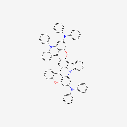 c1ccc(N(c2ccccc2)c2cc3c4c(c2)N(c2ccccc2)c2ccccc2B4c2cc4c5c(c2O3)c2ccccc2n5-c2cc(N(c3ccccc3)c3ccccc3)cc3c2B4c2ccccc2O3)cc1